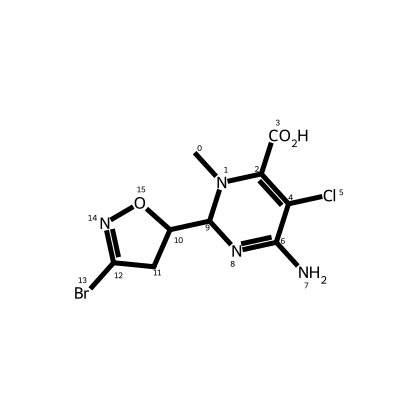 CN1C(C(=O)O)=C(Cl)C(N)=NC1C1CC(Br)=NO1